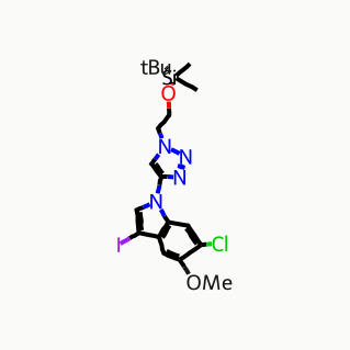 COc1cc2c(I)cn(-c3cn(CCO[Si](C)(C)C(C)(C)C)nn3)c2cc1Cl